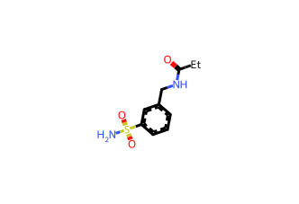 CCC(=O)NCc1cccc(S(N)(=O)=O)c1